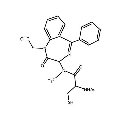 CC(=O)NC(CS)C(=O)N(C)C1N=C(c2ccccc2)c2ccccc2N(C[C]=O)C1=O